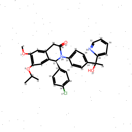 COc1cc2c(cc1OC(C)C)[C@H](c1ccc(Cl)cc1)N(c1ccc(C(C)(O)c3ccccn3)cc1)C(=O)C2